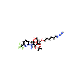 CC1(C)O[C@@H]2[C@@H](Nc3cccc(C(F)(F)F)n3)[C@H]3OC[C@](COCCCCCCN=[N+]=[N-])(O3)[C@@H]2O1